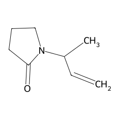 C=CC(C)N1CCCC1=O